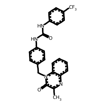 Cc1nc2ccccc2n(Cc2ccc(NC(=O)Nc3ccc(C(F)(F)F)cc3)cc2)c1=O